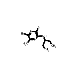 CCC(CC)Nc1nc(C)c(Br)nc1Br